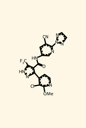 COc1nccc(-c2n[nH]c(C(F)(F)F)c2C(=O)Nc2cnc(-n3nccn3)c(C#N)c2)c1Cl